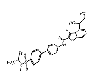 CC1=C(C(=O)Nc2ccc(-c3ccc(S(=O)(=O)N(C)[C@H](C(=O)O)C(C)C)cc3)cc2)OC2C=CC=C(C(O)CO)C12